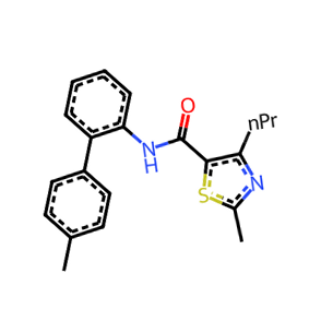 CCCc1nc(C)sc1C(=O)Nc1ccccc1-c1ccc(C)cc1